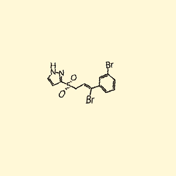 O=S(=O)(CC=C(Br)c1cccc(Br)c1)c1cc[nH]n1